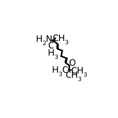 CC(C)(N)/C=C/CC/C=C/C(=O)C(C)(C)C